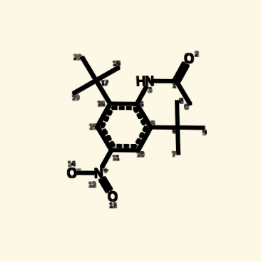 CC(=O)Nc1c(C(C)(C)C)cc([N+](=O)[O-])cc1C(C)(C)C